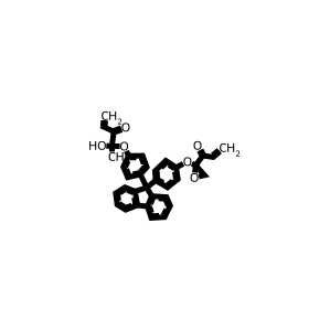 C=CC(=O)C(C)(O)Oc1ccc(C2(c3ccc(OC4(C(=O)C=C)CO4)cc3)c3ccccc3-c3ccccc32)cc1